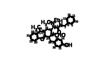 CCN(C)N(C(=O)NCc1ccccc1)C1CN([C@H](C)c2ccccc2)C(=O)[C@H](Cc2ccc(O)cc2)N1C=O